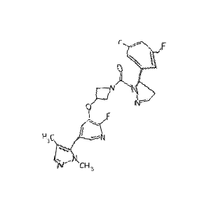 Cc1cnn(C)c1-c1cnc(F)c(OC2CN(C(=O)N3N=CCC3c3cc(F)cc(F)c3)C2)c1